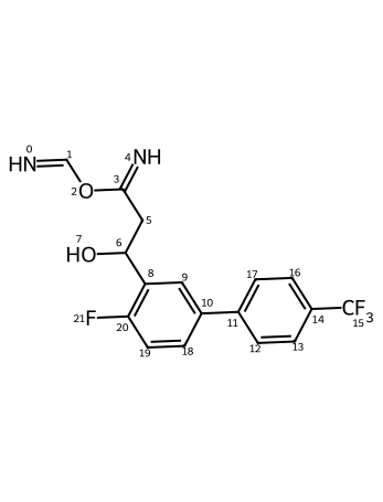 N=COC(=N)CC(O)c1cc(-c2ccc(C(F)(F)F)cc2)ccc1F